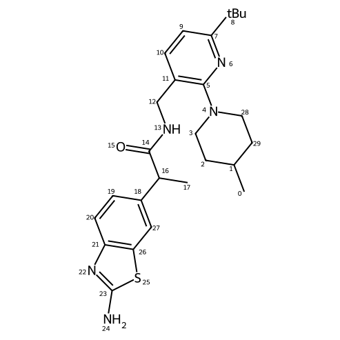 CC1CCN(c2nc(C(C)(C)C)ccc2CNC(=O)C(C)c2ccc3nc(N)sc3c2)CC1